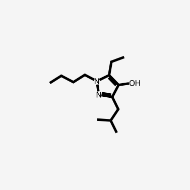 CCCCn1nc(CC(C)C)c(O)c1CC